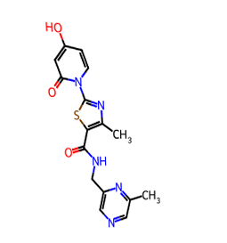 Cc1cncc(CNC(=O)c2sc(-n3ccc(O)cc3=O)nc2C)n1